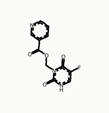 O=C(OCn1c(=O)[nH]cc(F)c1=O)c1cccnc1